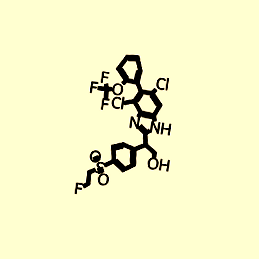 O=S(=O)(CCF)c1ccc(C(CO)c2nc3c(Cl)c(-c4ccccc4OC(F)(F)F)c(Cl)cc3[nH]2)cc1